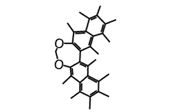 Cc1c(C)c(C)c2c(C)c3c(c(C)c2c1C)OCOc1c-3c(C)c2c(C)c(C)c(C)c(C)c2c1C